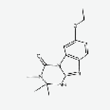 CCOc1ccc2nc3n(c2c1)C(=O)N(C)C(C)(C)N3